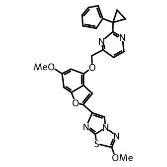 COc1cc(OCc2ccnc(C3(c4ccccc4)CC3)n2)c2cc(-c3cn4nc(OC)sc4n3)oc2c1